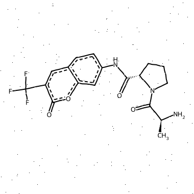 C[C@H](N)C(=O)N1CCC[C@H]1C(=O)Nc1ccc2cc(C(F)(F)F)c(=O)oc2c1